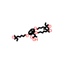 CCC1(CCCCCOC(=C(C)C(=O)O)C23CC4CC(OCCCCCC5(CC)COC5)(CC(OCCCCCC5(CC)COC5)(C4)C2)C3)COC1